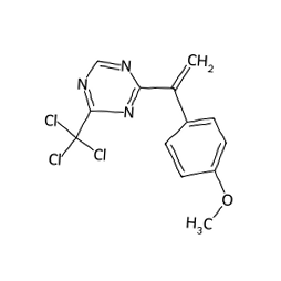 C=C(c1ccc(OC)cc1)c1ncnc(C(Cl)(Cl)Cl)n1